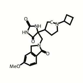 COc1ccc2c(c1)CN(CC1(C3CCN(C4CCC4)CC3)NC(=O)NC1=O)C2=O